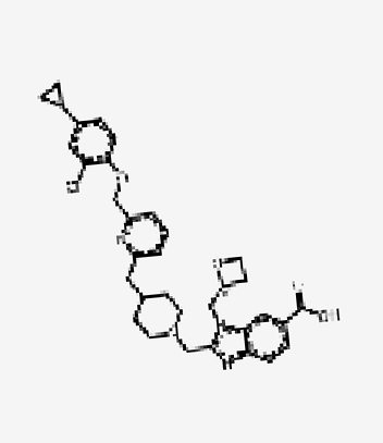 O=C(O)c1ccc2nc(CN3CCC(Cc4cccc(COc5ccc(C6CC6)cc5Cl)n4)CC3)n(C[C@@H]3CCO3)c2c1